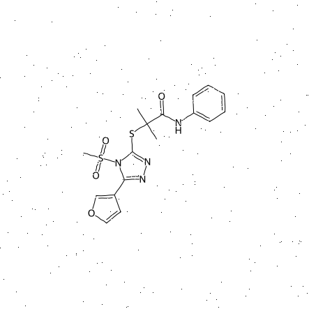 CC(C)(Sc1nnc(-c2ccoc2)n1S(C)(=O)=O)C(=O)Nc1ccccc1